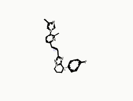 Cc1cn(-c2ccc(/C=C/c3nc4n(n3)CCC[C@H]4c3ccc(F)cc3)nc2C)cn1